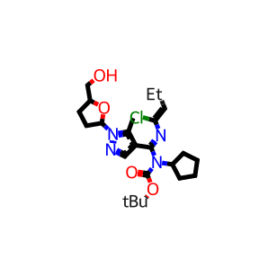 CC/C=C(Cl)/N=C(\c1cnn(C2CCC(CO)O2)c1C)N(C(=O)OC(C)(C)C)C1CCCC1